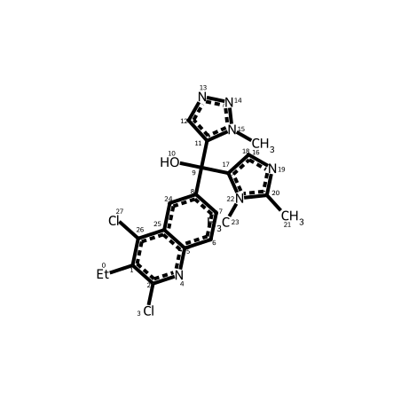 CCc1c(Cl)nc2ccc(C(O)(c3cnnn3C)c3cnc(C)n3C)cc2c1Cl